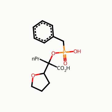 CCCC(OP(=O)(O)Cc1ccccc1)(C(=O)O)C1CCCO1